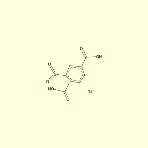 O=C(O)c1ccc(C(=O)O)c([S-](=O)=O)c1.[Na+]